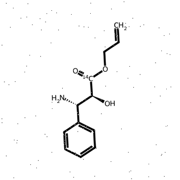 C=CCO[14C](=O)[C@@H](O)[C@@H](N)c1ccccc1